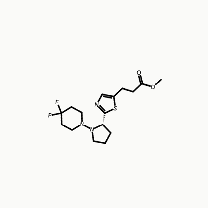 COC(=O)CCc1cnc([C@@H]2CCCN2N2CCC(F)(F)CC2)s1